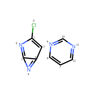 Clc1cc2nc-2n1.c1cncnc1